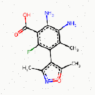 Cc1noc(C)c1-c1c(C)c(N)c(N)c(C(=O)O)c1F